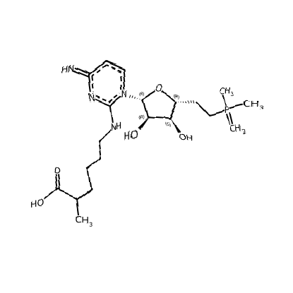 C=P(C)(C)CC[C@H]1O[C@@H](n2ccc(=N)nc2NCCCCC(C)C(=O)O)[C@H](O)[C@@H]1O